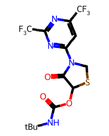 CC(C)(C)NC(=O)OC1SCN(c2cc(C(F)(F)F)nc(C(F)(F)F)n2)C1=O